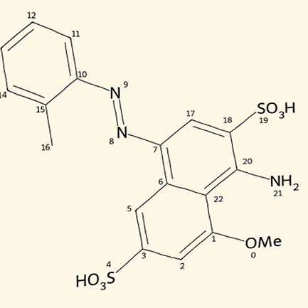 COc1cc(S(=O)(=O)O)cc2c(N=Nc3ccccc3C)cc(S(=O)(=O)O)c(N)c12